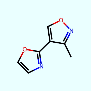 Cc1nocc1-c1ncco1